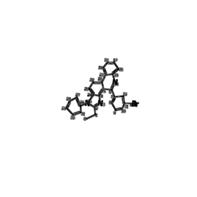 CCc1nc2c3c(-c4cccc(Br)c4)nc4ccccc4c3ccc2n1-c1ccccc1